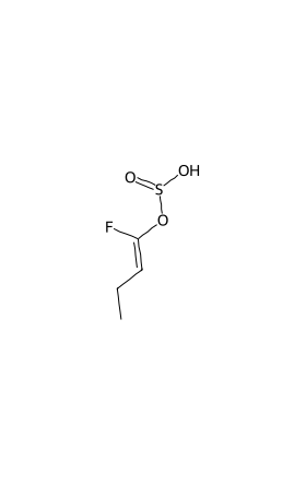 CCC=C(F)OS(=O)O